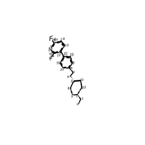 CC[C@H]1CC[C@H](CCc2ccc(-c3ccc(F)nc3F)cc2)CC1